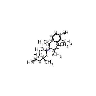 C=C=C(C)/C(=C(/C)CC(C)(C)CC=N)C(C)c1ccc(S)c(C)c1